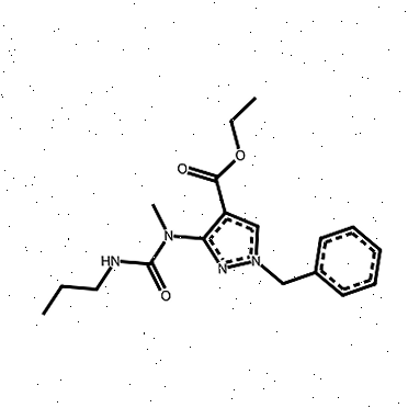 CCCNC(=O)N(C)c1nn(Cc2ccccc2)cc1C(=O)OCC